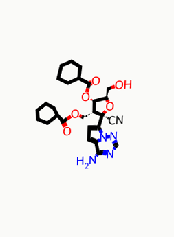 N#C[C@@]1(c2ccc3c(N)ncnn23)O[C@H](CO)[C@@H](OC(=O)C2CCCCC2)[C@H]1COC(=O)C1CCCCC1